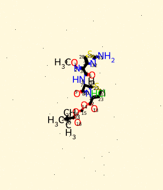 CON=C(C(=O)N[C@@H]1C(=O)N2C(C(=O)OCOC(=O)C(C)(C)C)=CCS[C@@H]12)c1csc(N)n1.Cl